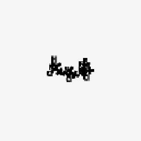 Cc1nn(CC(C)(C)c2c(Cl)n[nH]c2C)c(Cl)c1C(C)(C)Cn1nc(C(F)(F)F)c(C(C)(C)C)c1Cl